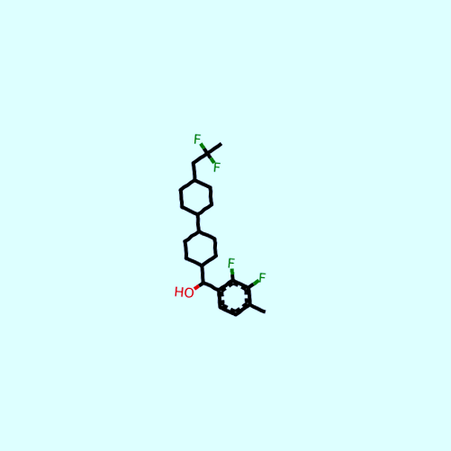 Cc1ccc(C(O)C2CCC(C3CCC(CC(C)(F)F)CC3)CC2)c(F)c1F